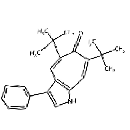 CC(C)(C)c1cc2[nH]cc(-c3ccccc3)c2cc(C(C)(C)C)c1=O